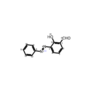 O=Cc1cccc(/N=N/c2ccccc2)c1O